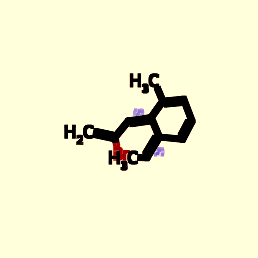 C=C(Br)/C=c1/c(C)ccc/c1=C/C